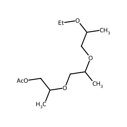 CCOC(C)COC(C)COC(C)COC(C)=O